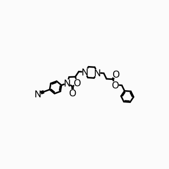 N#Cc1ccc(N2CC(CN3CCN(CCC(=O)OCc4ccccc4)CC3)OC2=O)cc1